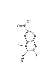 N#Cc1c(F)nc2ccc([N+](=O)[O-])cc2c1F